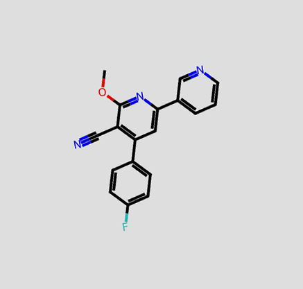 COc1nc(-c2cccnc2)cc(-c2ccc(F)cc2)c1C#N